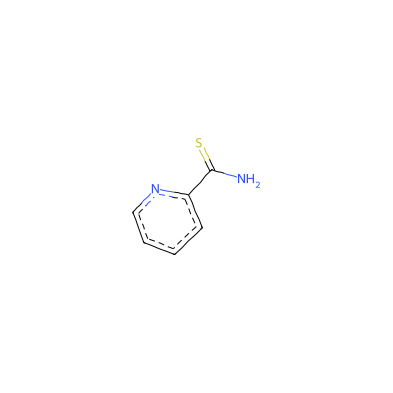 NC(=S)c1ccccn1